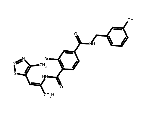 Cc1nnsc1/C=C(\NC(=O)c1ccc(C(=O)NCc2cccc(O)c2)cc1Br)C(=O)O